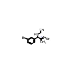 C/C(=N\O)C(NCC#N)c1cccc(Br)c1